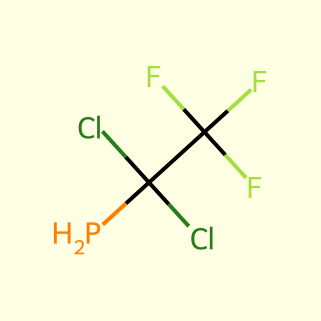 FC(F)(F)C(P)(Cl)Cl